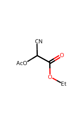 CCOC(=O)C(C#N)OC(C)=O